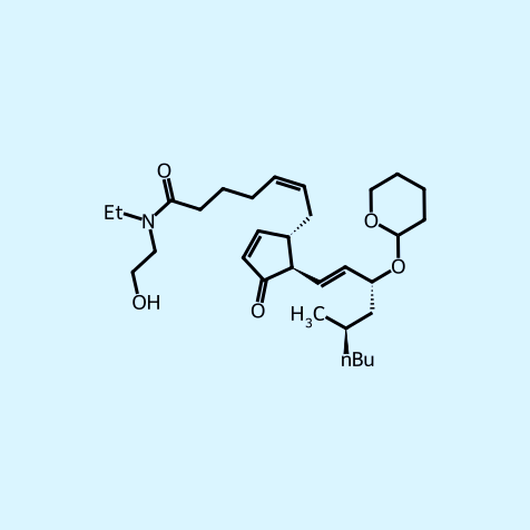 CCCC[C@@H](C)C[C@H](/C=C/[C@H]1C(=O)C=C[C@@H]1C/C=C\CCCC(=O)N(CC)CCO)OC1CCCCO1